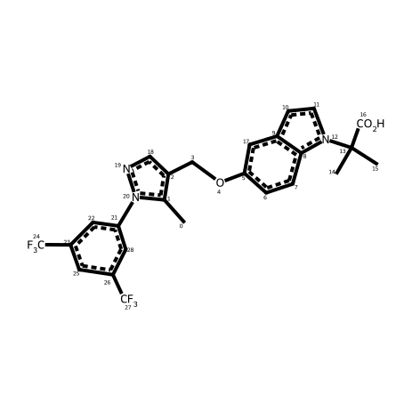 Cc1c(COc2ccc3c(ccn3C(C)(C)C(=O)O)c2)cnn1-c1cc(C(F)(F)F)cc(C(F)(F)F)c1